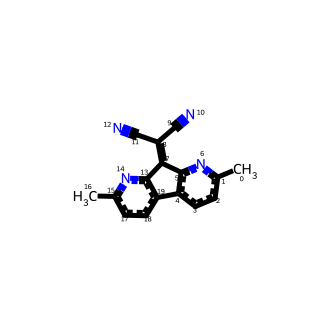 Cc1ccc2c(n1)C(=C(C#N)C#N)c1nc(C)ccc1-2